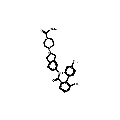 COC(=O)N1CCN([C@@H]2Cc3ccc(NC(=O)c4cccc(C)c4-c4ccc(C(F)(F)F)cc4)cc3C2)CC1